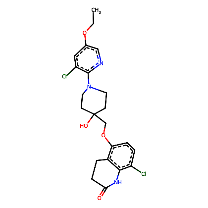 CCOc1cnc(N2CCC(O)(COc3ccc(Cl)c4c3CCC(=O)N4)CC2)c(Cl)c1